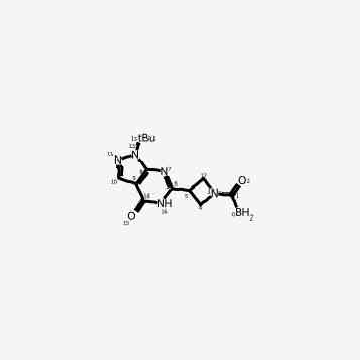 BC(=O)N1CC(c2nc3c(cnn3C(C)(C)C)c(=O)[nH]2)C1